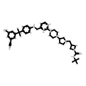 CC(C)(C)OC(=O)N1CC(CN2CCC(N3CCN(c4nccc(COc5ccc(C(C)(C)c6cc(Cl)cc(C#N)c6)cc5)n4)CC3)C2)C1